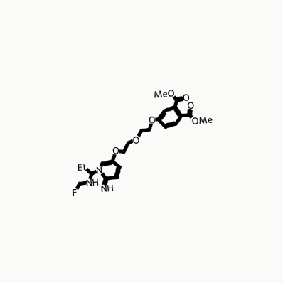 CCC(NCF)n1cc(OCCOCCOc2ccc(C(=O)OC)c(C(=O)OC)c2)ccc1=N